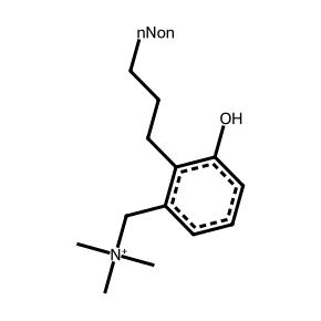 CCCCCCCCCCCCc1c(O)cccc1C[N+](C)(C)C